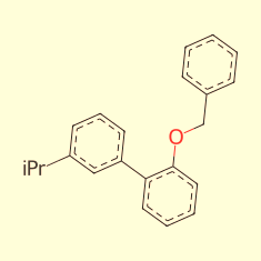 CC(C)c1cccc(-c2ccccc2OCc2ccccc2)c1